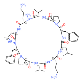 CC(C)C[C@@H]1NC(=O)[C@H](CCCN)NC(=O)[C@H](C(C)C)NC(=O)[C@@H]2CCCN2C(=O)[C@@H](Cc2ccccc2)N2N[C@H](C)C[C@H](NC(=O)[C@H](CCCN)N(N)C(=O)[C@H](C(C)C)NC(=O)[C@@H]3CCCN3C(=O)[C@@H](Cc3ccccc3)NC1=O)C2=O